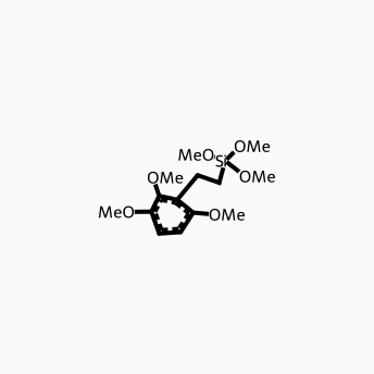 COc1ccc(OC)c(OC)c1CC[Si](OC)(OC)OC